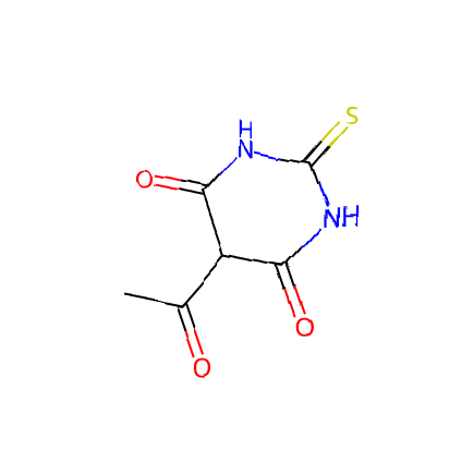 CC(=O)C1C(=O)NC(=S)NC1=O